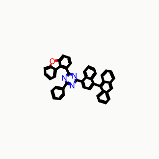 c1ccc(-c2nc(-c3ccc(-c4c5ccccc5cc5ccccc45)c4ccccc34)nc(-c3cccc4oc5ccccc5c34)n2)cc1